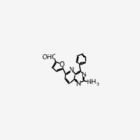 Nc1nc(-c2ccccc2)c2nc(-c3ccc(C=O)o3)ccc2n1